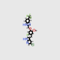 COc1cc(Cc2c[nH]c3ncc(Cl)cc23)c(F)cc1OCc1nc2cc(C(F)(F)F)ccc2[nH]1